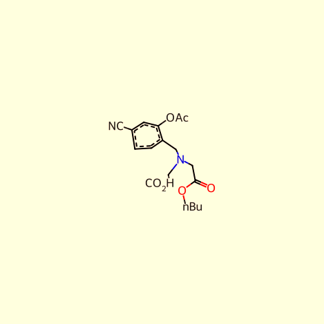 CCCCOC(=O)CN(CC(=O)O)Cc1ccc(C#N)cc1OC(C)=O